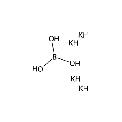 OB(O)O.[KH].[KH].[KH].[KH]